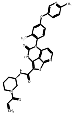 C=CC(=O)N1CCC[C@@H](NC(=O)c2sc3nccc4c3c2NC(=O)N4c2ccc(Oc3ccc(C)nc3)cc2C)C1